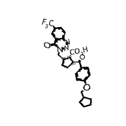 O=C(O)[C@H]1[C@H](Cn2nnc3ccc(C(F)(F)F)cc3c2=O)CC[C@@H]1C(=O)c1ccc(OCC2CCCC2)cc1